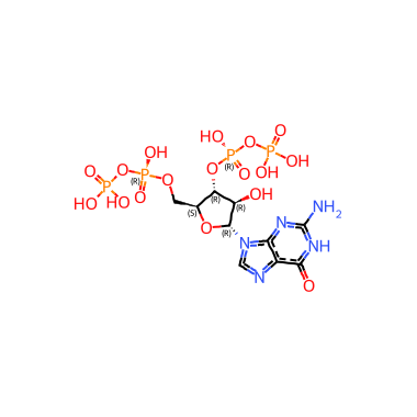 Nc1nc2c(ncn2[C@@H]2O[C@@H](CO[P@@](=O)(O)OP(=O)(O)O)[C@H](O[P@@](=O)(O)OP(=O)(O)O)[C@H]2O)c(=O)[nH]1